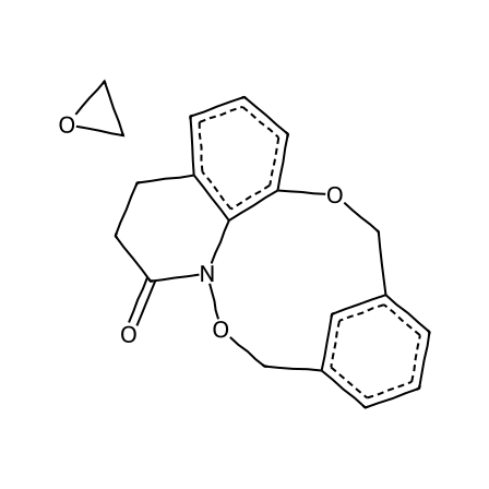 C1CO1.O=C1CCc2cccc3c2N1OCc1cccc(c1)CO3